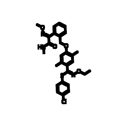 CCON=C(Sc1ccc(Cl)cc1)c1cc(C)c(OCc2ccccc2/C(=N\OC)C(=O)NC)cc1C